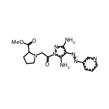 COC(=O)C1CCCN1CC(=O)n1nc(N)c(/N=N/c2cccnc2)c1N